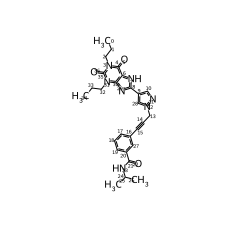 CCCn1c(=O)c2[nH]c(-c3cnn(CC#Cc4cccc(C(=O)NC(C)C)c4)c3)nc2n(CCC)c1=O